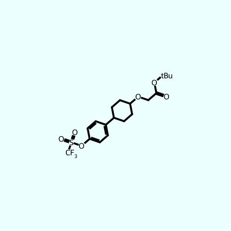 CC(C)(C)OC(=O)COC1CCC(c2ccc(OS(=O)(=O)C(F)(F)F)cc2)CC1